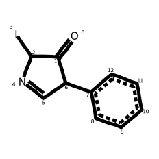 O=C1C(I)N=CC1c1ccccc1